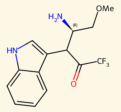 COC[C@H](N)C(C(=O)C(F)(F)F)c1c[nH]c2ccccc12